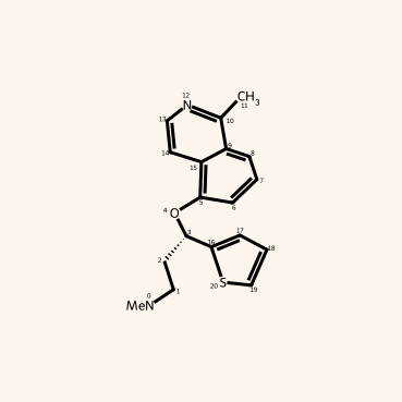 CNCC[C@H](Oc1cccc2c(C)nccc12)c1cccs1